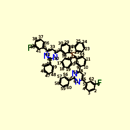 Fc1cccc(-c2cc(-c3cccc(S(c4ccccc4)(c4ccccc4)c4cccc(-c5cc(-c6cccc(F)c6)nc(-c6ccccc6)n5)c4)c3)nc(-c3ccccc3)n2)c1